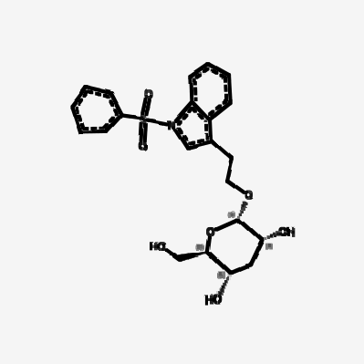 O=S(=O)(c1ccccc1)n1cc(CCO[C@H]2O[C@H](CO)[C@@H](O)C[C@H]2O)c2ccccc21